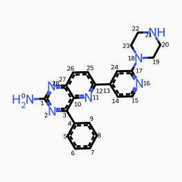 Nc1nc(-c2ccccc2)c2nc(-c3ccnc(N4CCNCC4)c3)ccc2n1